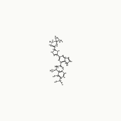 C[C@@H](NC(=O)c1cc(C2=CCN(C(=O)OC(C)(C)C)C2)cc2cn[nH]c12)c1cccc(C(F)F)c1F